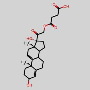 C[C@]12CCC(O)C=C1CCC1C2=CC[C@@]2(C)C1CC[C@]2(O)C(=O)COC(=O)CCC(=O)O